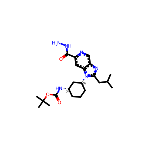 CC(C)Cc1nc2cnc(C(=O)NN)cc2n1[C@@H]1CCC[C@H](NC(=O)OC(C)(C)C)C1